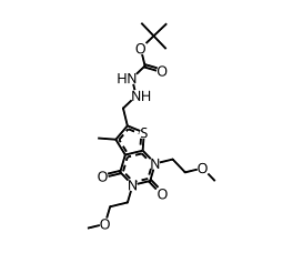 COCCn1c(=O)c2c(C)c(CNNC(=O)OC(C)(C)C)sc2n(CCOC)c1=O